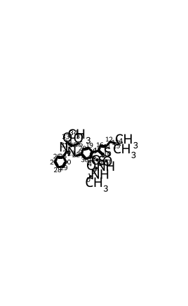 CCNC(=O)NS(=O)(=O)c1sc(CC(C)C)cc1-c1ccc(Cn2c(-c3ccccc3)nc(OC)c2C=O)cc1